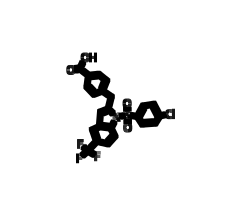 O=C(O)c1ccc(Cc2cc3cc(C(F)(F)F)ccc3n2S(=O)(=O)c2ccc(Cl)cc2)cc1